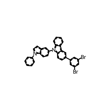 Brc1cc(Br)cc(-c2ccc3c(c2)c2ccccc2n3-c2ccc3c(ccn3-c3ccccc3)c2)c1